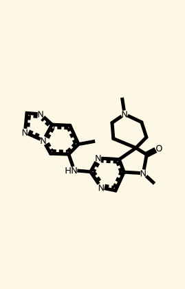 Cc1cc2ncnn2cc1Nc1ncc2c(n1)C1(CCN(C)CC1)C(=O)N2C